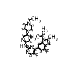 CCN1CCN(c2cnc(Nc3ncc(F)c(-c4cc(F)c5nc(C)n(C(C)C)c5c4)n3)cn2)CC1